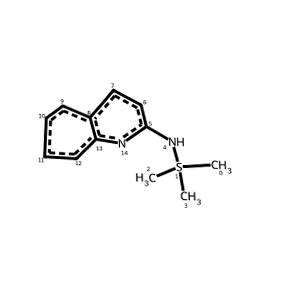 CS(C)(C)Nc1ccc2ccccc2n1